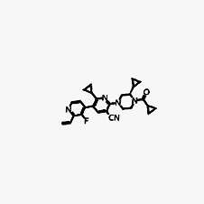 C=Cc1nccc(-c2cc(C#N)c(N3CCN(C(=O)C4CC4)[C@H](C4CC4)C3)nc2C2CC2)c1F